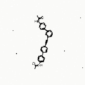 CC(=O)Nc1ccc(-c2ccc(C#Cc3cccc(-c4ccc(NC(C)=O)cc4)c3)cc2)cc1